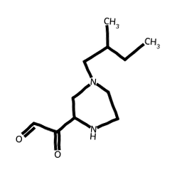 CCC(C)CN1CCNC(C(=O)C=O)C1